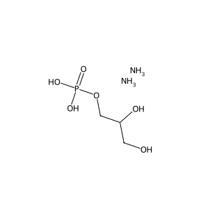 N.N.O=P(O)(O)OCC(O)CO